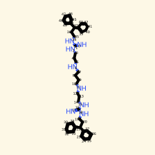 N=C(NCCCNCCCCNCCCNC(=N)NCCC(c1ccccc1)c1ccccc1)NCCC(C1=CCCC=C1)c1ccccc1